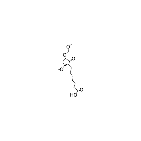 COCOC1CC(OC)=C(CCCCCCC(=O)O)C1=O